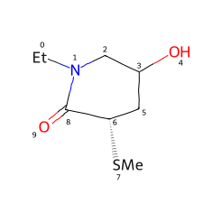 CCN1CC(O)C[C@H](SC)C1=O